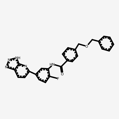 O=C(Nc1cc(-c2ccc3nn[nH]c3n2)ccc1F)c1ccc(COCc2ccccc2)cc1